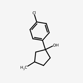 CC1CCC(O)(c2ccc(Cl)cc2)C1